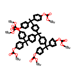 CC(C)(C)OC(=O)Oc1ccc(C(C)(c2ccc(OC(=O)OC(C)(C)C)cc2)c2ccc(C(C)(c3ccc(C(C)(c4ccc(OC(=O)OC(C)(C)C)cc4)c4ccc(OC(=O)OC(C)(C)C)cc4)cc3)c3ccc(C(C)(c4ccc(OC(=O)OC(C)(C)C)cc4)c4ccc(OC(=O)OC(C)(C)C)cc4)cc3)cc2)cc1